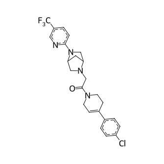 O=C(CN1CC2CC1CN2c1ccc(C(F)(F)F)cn1)N1CC=C(c2ccc(Cl)cc2)CC1